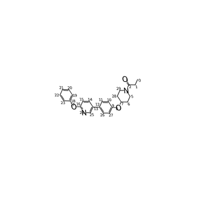 CCC(=O)N1CCC(Oc2ccc(-c3ccc(Oc4ccccc4)nc3)cc2)CC1